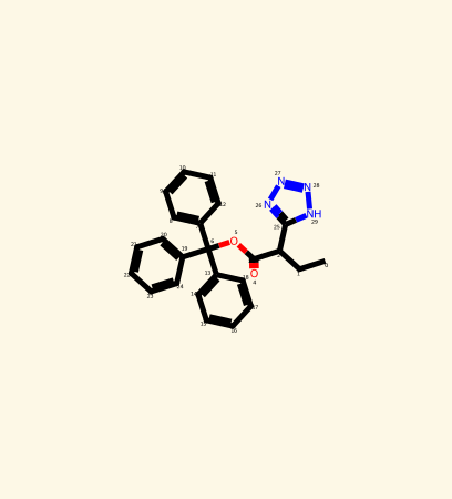 CCC(C(=O)OC(c1ccccc1)(c1ccccc1)c1ccccc1)c1nnn[nH]1